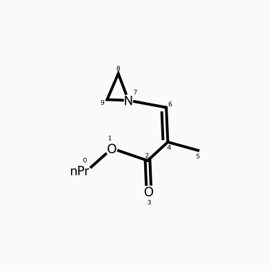 CCCOC(=O)C(C)=CN1CC1